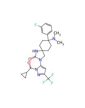 CN(C)C1(c2cccc(F)c2)CCC2(CC1)CN(c1cc(C(F)(F)F)nn1C(=O)C1CC1)C(=O)N2